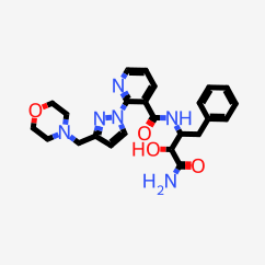 NC(=O)C(O)C(Cc1ccccc1)NC(=O)c1cccnc1-n1ccc(CN2CCOCC2)n1